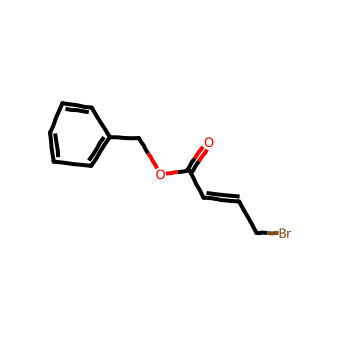 O=C(C=CCBr)OCc1ccccc1